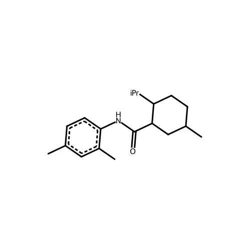 Cc1ccc(NC(=O)C2CC(C)CCC2C(C)C)c(C)c1